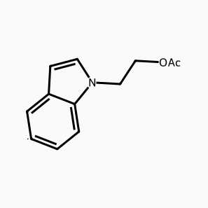 CC(=O)OCCn1ccc2c[c]ccc21